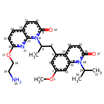 COc1cc(CC(C)n2c(=O)ccc3ccc(OCCN)nc32)c2ccc(=O)n(C(C)C)c2c1